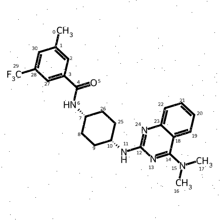 Cc1cc(C(=O)N[C@H]2CC[C@@H](Nc3nc(N(C)C)c4ccccc4n3)CC2)cc(C(F)(F)F)c1